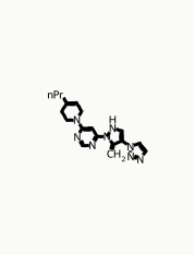 C=C1C(n2ccnn2)=CNN1c1cc(N2CC=C(CCC)CC2)ncn1